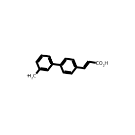 [CH2]c1cccc(-c2ccc(/C=C/C(=O)O)cc2)c1